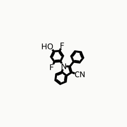 N#Cc1c(-c2ccccc2)n(-c2cc(F)c(O)cc2F)c2ccccc12